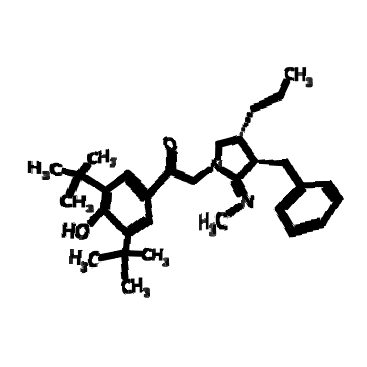 CCC[C@H]1CN(CC(=O)c2cc(C(C)(C)C)c(O)c(C(C)(C)C)c2)/C(=N\C)[C@@H]1Cc1ccccc1